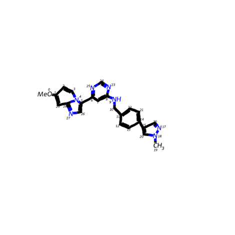 COc1ccn2c(-c3cc(NCc4ccc(-c5cnn(C)c5)cc4)ncn3)cnc2c1